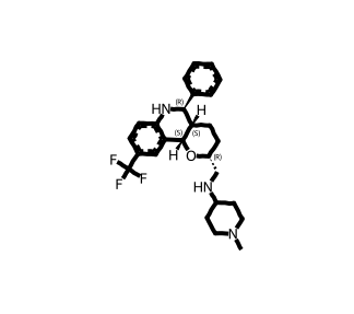 CN1CCC(NC[C@H]2CC[C@@H]3[C@H](O2)c2cc(C(F)(F)F)ccc2N[C@H]3c2ccccc2)CC1